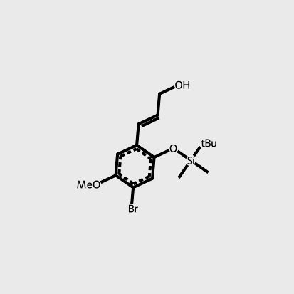 COc1cc(C=CCO)c(O[Si](C)(C)C(C)(C)C)cc1Br